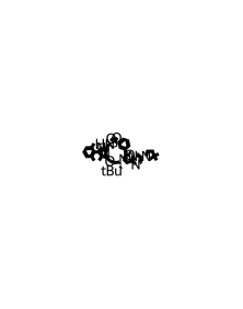 Cc1cccc(C)c1-c1nc2nc(c1C)OC[C@@H](CC(C)(C)C)N(Cc1ncc(N3CCC(C)(C)C3)cn1)C(=O)c1cccc(c1)S(=O)(=O)N2